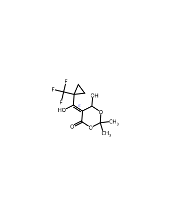 CC1(C)OC(=O)/C(=C(\O)C2(C(F)(F)F)CC2)C(O)O1